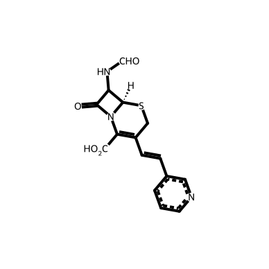 O=CNC1C(=O)N2C(C(=O)O)=C(/C=C/c3cccnc3)CS[C@H]12